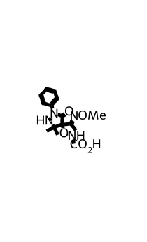 CON=C(C)C1(ONC(=O)O)C(=O)N(c2ccccc2)NC1(C)C